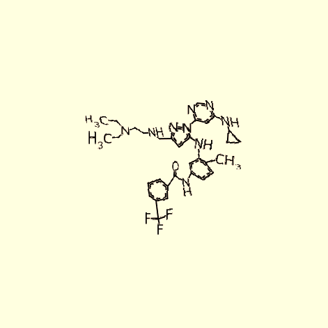 CCN(CC)CCNCc1cc(Nc2cc(NC(=O)c3cccc(C(F)(F)F)c3)ccc2C)n(-c2cc(NC3CC3)ncn2)n1